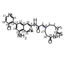 CN1CC/C(=C/C(=O)Nc2cc3cc(-c4cnccc4Cl)cc(N)c3cn2)CCC(=O)NC1=S